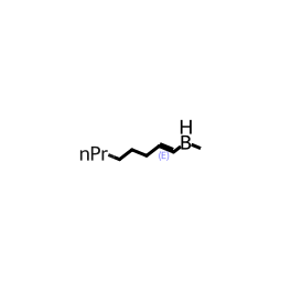 CB/C=C/CCCCCC